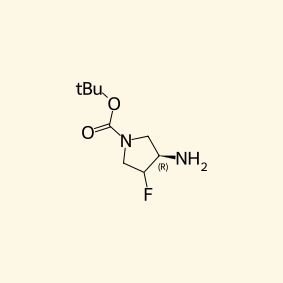 CC(C)(C)OC(=O)N1CC(F)[C@H](N)C1